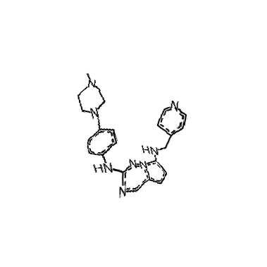 CN1CCN(c2ccc(Nc3ncc4ccc(NCc5ccncc5)n4n3)cc2)CC1